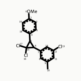 COc1ccc(C2C(c3cc(C)cc(Cl)c3)C2(Cl)Cl)cc1